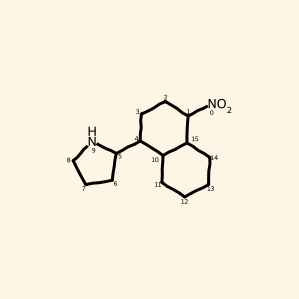 O=[N+]([O-])C1CCC(C2CCCN2)C2CCCCC21